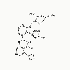 COc1ccc(Cn2c3nccc(-c4nc5cncc(C6CCC6)c5c(=O)[nH]4)c3n3cc(C)nc23)c(OC)c1